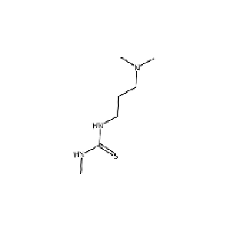 CNC(=S)NCCCN(C)C